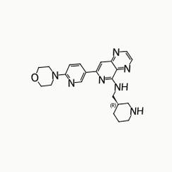 c1cnc2c(NC[C@@H]3CCCNC3)nc(-c3ccc(N4CCOCC4)nc3)cc2n1